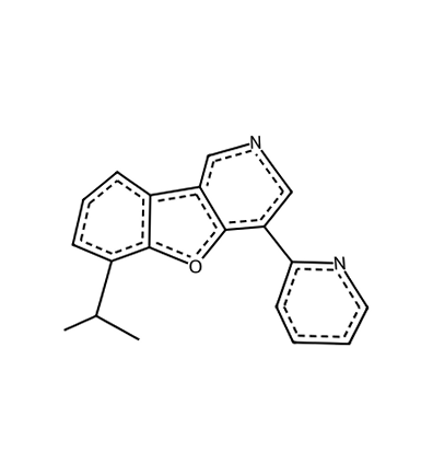 CC(C)c1cccc2c1oc1c(-c3ccccn3)cncc12